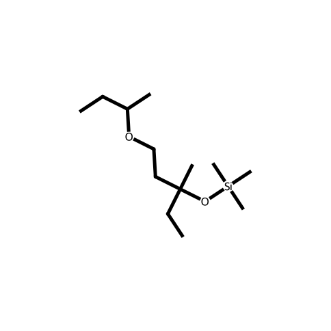 CCC(C)OCCC(C)(CC)O[Si](C)(C)C